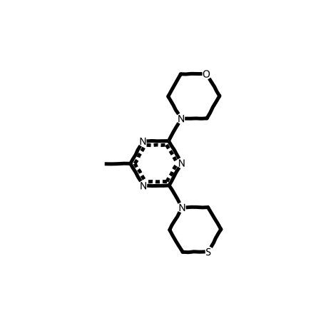 Cc1nc(N2CCOCC2)nc(N2CCSCC2)n1